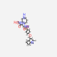 Cc1cc(COc2ccc(S(=O)(=O)NCC(C(=O)NO)N3CCCCNCC3)cc2)c2ccccc2n1